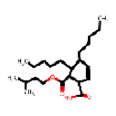 CCCCCC1C=CC(C(=O)O)C(C(=O)OCCC(C)C)C1CCCCC